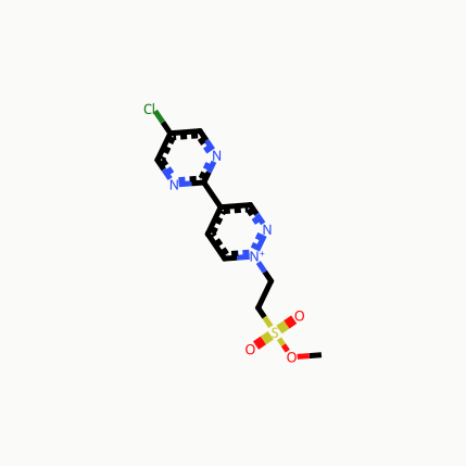 COS(=O)(=O)CC[n+]1ccc(-c2ncc(Cl)cn2)cn1